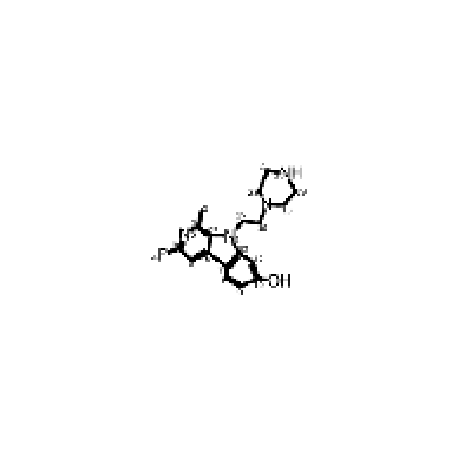 Cc1nc(F)cc2c3ccc(O)cc3n(CCN3CCNCC3)c12